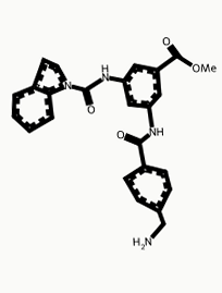 COC(=O)c1cc(NC(=O)c2ccc(CN)cc2)cc(NC(=O)n2ccc3ccccc32)c1